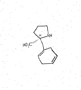 O=C(O)[C@]1(C2=CCC=CC2)CCCN1